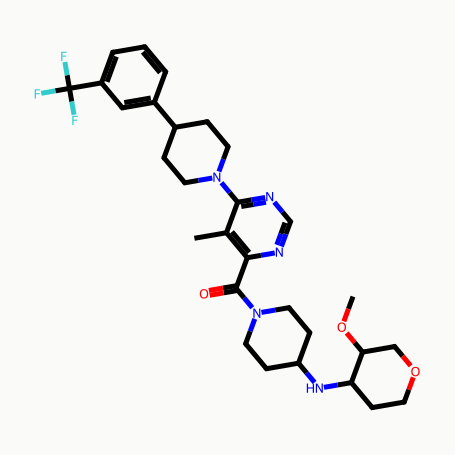 COC1COCCC1NC1CCN(C(=O)c2ncnc(N3CCC(c4cccc(C(F)(F)F)c4)CC3)c2C)CC1